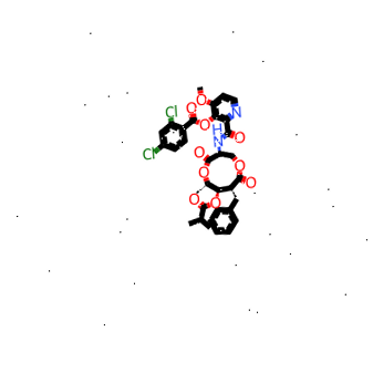 COc1ccnc(C(=O)N[C@H]2COC(=O)[C@H](Cc3ccccc3)[C@@H](OC(=O)C(C)C)[C@H](C)OC2=O)c1OC(=O)c1ccc(Cl)cc1Cl